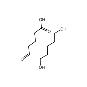 O=CCCCC(=O)O.OCCCCCO